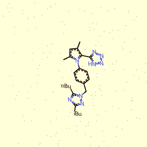 CCCCc1nc(C(C)CC)nn1Cc1ccc(-n2c(C)cc(C)c2-c2nnn[nH]2)cc1